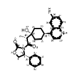 C[C@@H](C(=O)N1C(=O)OC[C@H]1c1ccccc1)[C@]1(O)CC[C@H](c2ccnc3ccc(F)cc32)CC1